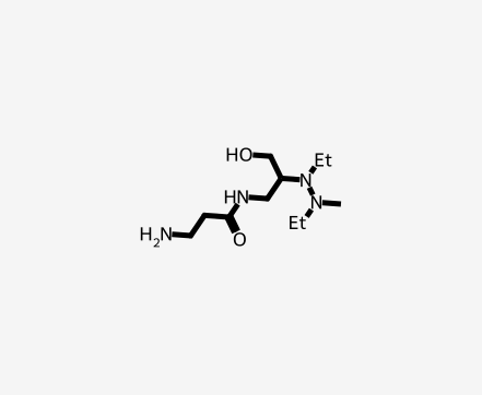 CCN(C)N(CC)C(CO)CNC(=O)CCN